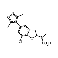 Cc1noc(C)c1-c1cc(Cl)c2c(c1)CC(N(C)C(=O)O)O2